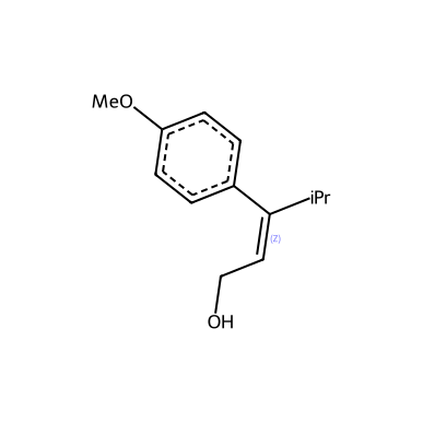 COc1ccc(/C(=C\CO)C(C)C)cc1